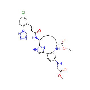 CCOC(=O)[C@H]1CCCC[C@H](NC(=O)/C=C/c2cc(Cl)ccc2-n2cnnn2)c2nc(c[nH]2)-c2ccc(NCC(=O)OC)cc2N1